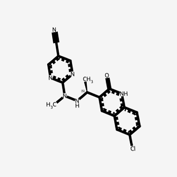 C[C@H](NN(C)c1ncc(C#N)cn1)c1cc2cc(Cl)ccc2[nH]c1=O